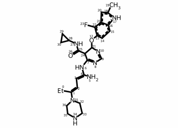 CC/C(=C\C=C(/N)NC1=NC=NC(Oc2ccc3[nH]c(C)cc3c2F)C1C(=O)NC1CC1)N1CCNCC1